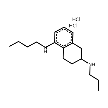 CCCCNc1cccc2c1CCC(NCCC)C2.Cl.Cl